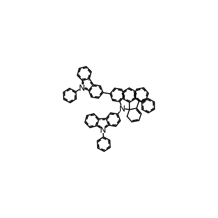 C1=CCC(c2ccccc2-c2ccccc2)(N(c2cccc(-c3ccc4c(c3)c3ccccc3n4-c3ccccc3)c2)c2ccc3c(c2)c2ccccc2n3-c2ccccc2)C(c2ccccc2)=C1